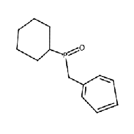 O=[P](Cc1ccccc1)C1CCCCC1